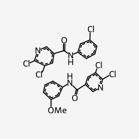 COc1cccc(NC(=O)c2cnc(Cl)c(Cl)c2)c1.O=C(Nc1cccc(Cl)c1)c1cnc(Cl)c(Cl)c1